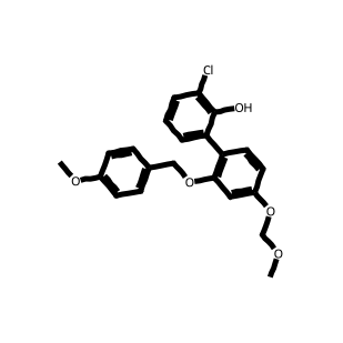 COCOc1[c]c(OCc2ccc(OC)cc2)c(-c2cccc(Cl)c2O)cc1